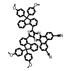 COc1ccc(C2(c3ccc(OC)cc3)c3ccccc3-c3c(-c4sc(-c5cccc6c5-c5ccccc5C6(c5ccc(OC)cc5)c5ccc(OC)cc5)c5nc6c7ccc(C#N)cc7c7cc(C#N)ccc7c6nc45)cccc32)cc1